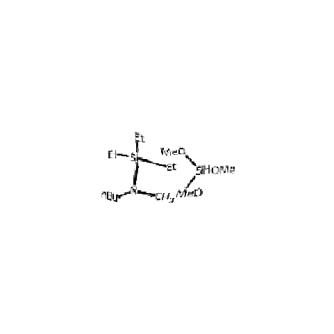 CCCCN(C)[Si](CC)(CC)CC.CO[SiH](OC)OC